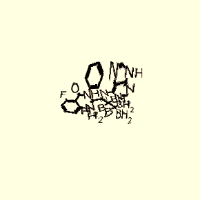 BC(B)(B)C(B)(B)[C@H](Nc1ncnc2[nH]cnc12)c1nc2cccc(F)c2c(=O)n1-c1ccccc1